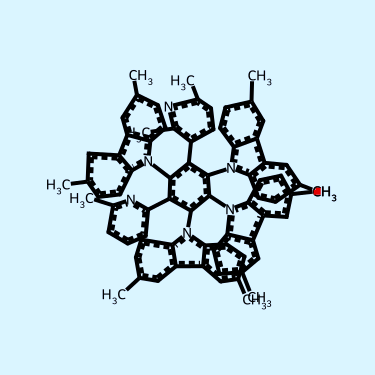 Cc1ccc2c(c1)c1cc(C)ccc1n2-c1c(-c2cccc(C)n2)c(-n2c3ccc(C)cc3c3cc(C)ccc32)c(-n2c3ccc(C)cc3c3cc(C)ccc32)c(-n2c3ccc(C)cc3c3cc(C)ccc32)c1-c1ccc(C)nc1C